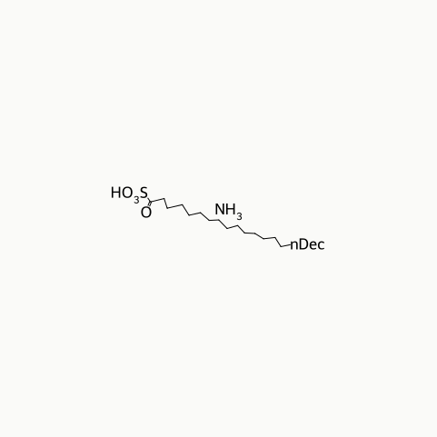 CCCCCCCCCCCCCCCCCCCCCCCCC(=O)S(=O)(=O)O.N